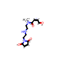 CN(CCNCCN1C(=O)C=CC1=O)C(=O)/C=C\C=O